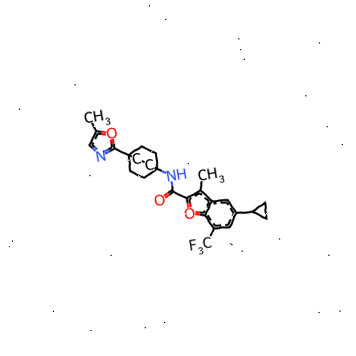 Cc1cnc(C23CCC(NC(=O)c4oc5c(C(F)(F)F)cc(C6CC6)cc5c4C)(CC2)CC3)o1